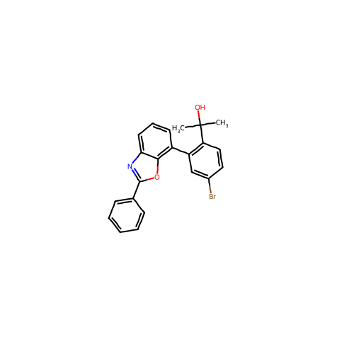 CC(C)(O)c1ccc(Br)cc1-c1cccc2nc(-c3ccccc3)oc12